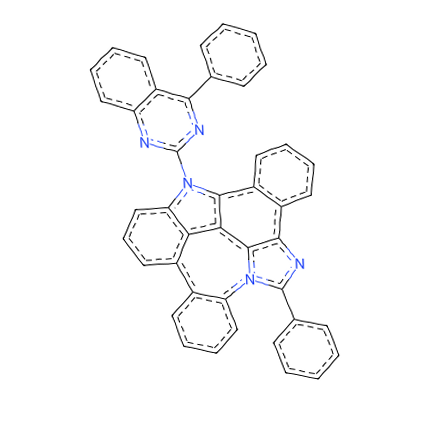 c1ccc(-c2nc(-n3c4cccc5c6ccccc6n6c(-c7ccccc7)nc7c8ccccc8c3c(c54)c76)nc3ccccc23)cc1